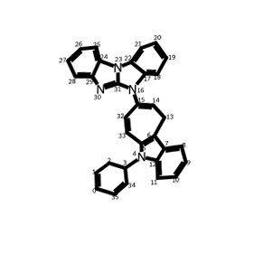 C1=CCC(n2c3c(c4ccccc42)CC=C(n2c4ccccc4n4c5ccccc5nc24)C=C3)C=C1